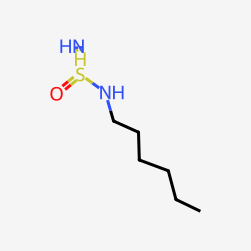 CCCCCCN[SH](=N)=O